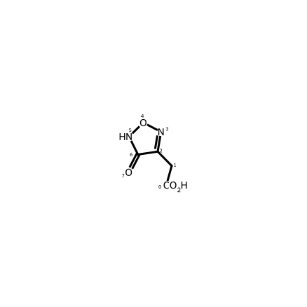 O=C(O)Cc1no[nH]c1=O